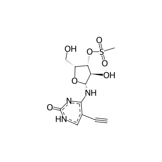 C#Cc1c[nH]c(=O)nc1N[C@@H]1O[C@H](CO)[C@H](OS(C)(=O)=O)[C@H]1O